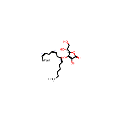 CCCCC/C=C\C/C=C\C/C=C\CCCCC(=O)O.O=C1O[C@H]([C@@H](O)CO)C(O)=C1O